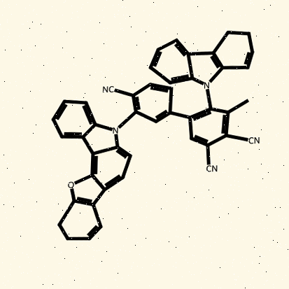 Cc1c(C#N)c(C#N)cc(-c2ccc(C#N)c(-n3c4ccccc4c4c5oc6c(c5ccc43)C=CCC6)c2)c1-n1c2c(c3ccccc31)CCC=C2